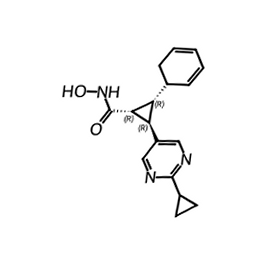 O=C(NO)[C@H]1[C@H](c2cnc(C3CC3)nc2)[C@H]1C1C=CC=CC1